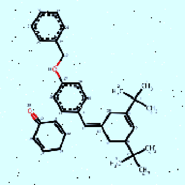 CC(C)(C)C1=CC(C(C)(C)C)CC(=Cc2ccc(OCc3ccccc3)cc2)C1.O=C1C=CCC=C1